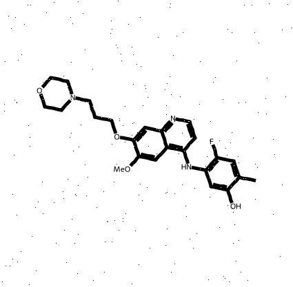 COc1cc2c(Nc3cc(O)c(C)cc3F)ccnc2cc1OCCCN1CCOCC1